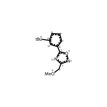 COCc1noc(-c2cccc(C(C)(C)C)c2)n1